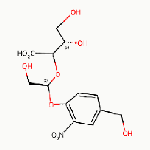 O=C(O)C(O[C@H](CO)Oc1ccc(CO)cc1[N+](=O)[O-])[C@@H](O)CO